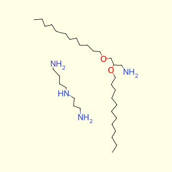 CCCCCCCCCCCCOCC(CN)OCCCCCCCCCCCC.NCCCCNCCCN